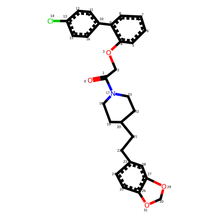 O=C(COc1ccccc1-c1ccc(Cl)cc1)N1CCC(CCc2ccc3c(c2)OCO3)CC1